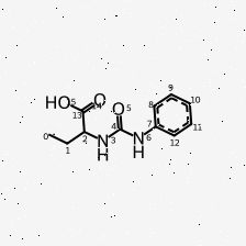 [CH2]CC(NC(=O)Nc1ccccc1)C(=O)O